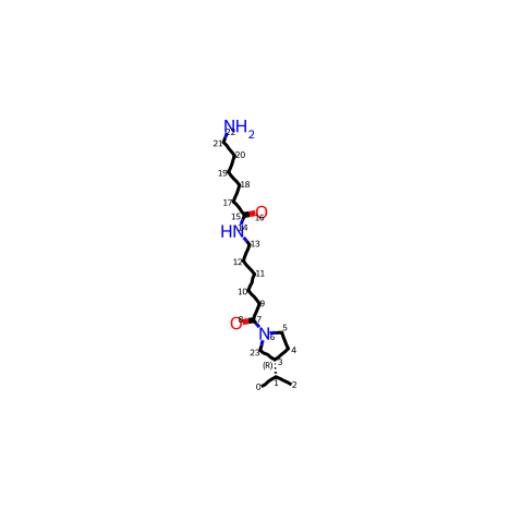 CC(C)[C@H]1CCN(C(=O)CCCCCNC(=O)CCCCCN)C1